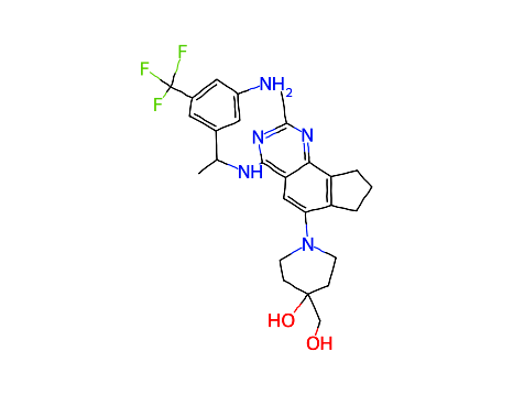 Cc1nc(NC(C)c2cc(N)cc(C(F)(F)F)c2)c2cc(N3CCC(O)(CO)CC3)c3c(c2n1)CCC3